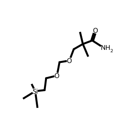 CC(C)(COCOCC[Si](C)(C)C)C(N)=O